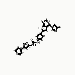 Cc1cn(-c2ncnc3[nH]c(-c4ccc(NC(=O)Nc5cc(-c6ccncc6)no5)cc4)cc23)cn1